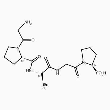 CC[C@H](C)[C@H](NC(=O)[C@@H]1CCCN1C(=O)CN)C(=O)NCC(=O)N1CCC[C@H]1C(=O)O